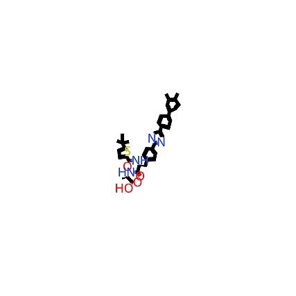 Cc1ccc(-c2ccc(-c3cnc(-c4ccc(C[C@H](NC(=O)c5ccc(C(C)(C)C)s5)C(=O)N[C@H](C)C(=O)O)cc4)nc3)cc2)cc1C